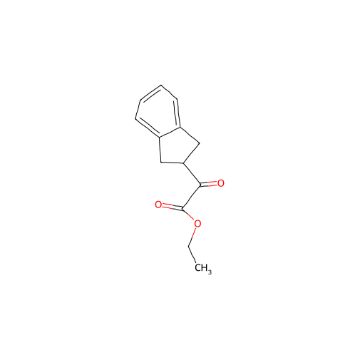 CCOC(=O)C(=O)C1Cc2ccccc2C1